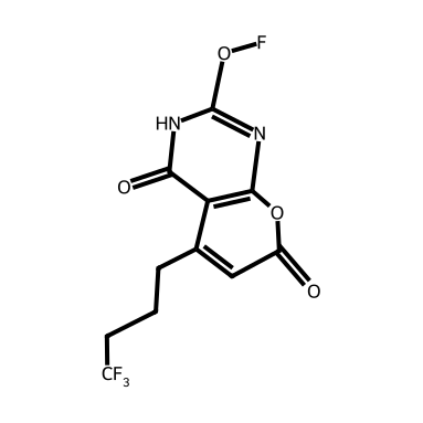 O=c1cc(CCCC(F)(F)F)c2c(=O)[nH]c(OF)nc2o1